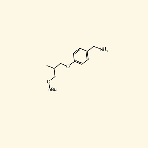 CCCCOCC(C)COc1ccc(CN)cc1